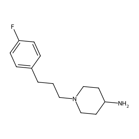 NC1CCN(CCCc2ccc(F)cc2)CC1